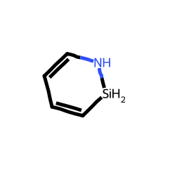 C1=CN[SiH2]C=C1